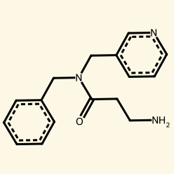 NCCC(=O)N(Cc1ccccc1)Cc1cccnc1